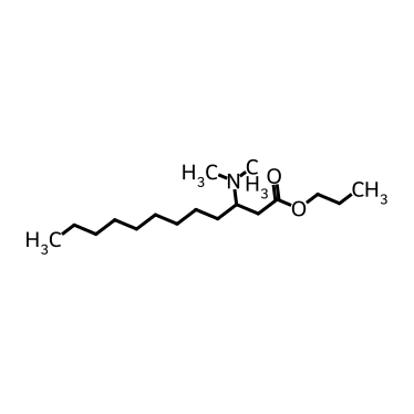 CCCCCCCCCC(CC(=O)OCCC)N(C)C